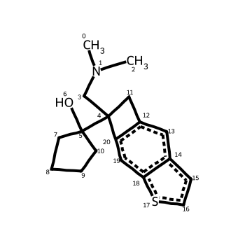 CN(C)CC1(C2(O)CCCC2)Cc2cc3ccsc3cc21